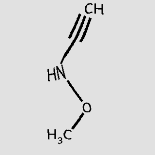 C#CNOC